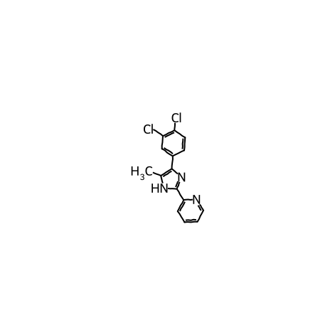 Cc1[nH]c(-c2ccccn2)nc1-c1ccc(Cl)c(Cl)c1